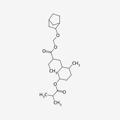 CCC(CC1CC(OC(=O)C(C)C)CCC1C)C(=O)OCOC1CC2CCC1C2